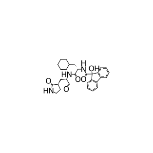 O=C[C@@H](C[C@H]1CCNC1=O)NC(=O)[C@H](CC1CCCCC1)NC(=O)C1(O)c2ccccc2-c2ccccc21